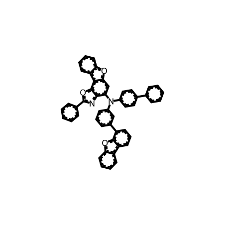 c1ccc(-c2ccc(N(c3cccc(-c4cccc5c4oc4ccccc45)c3)c3cc4oc5ccccc5c4c4oc(-c5ccccc5)nc34)cc2)cc1